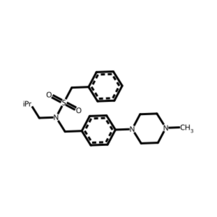 CC(C)CN(Cc1ccc(N2CCN(C)CC2)cc1)S(=O)(=O)Cc1ccccc1